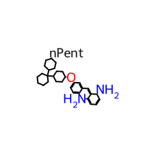 CCCCCC1CCC(C2(C3CCC(Oc4cccc(C=C5C(N)=CC=CC5N)c4)CC3)CCCCC2)CC1